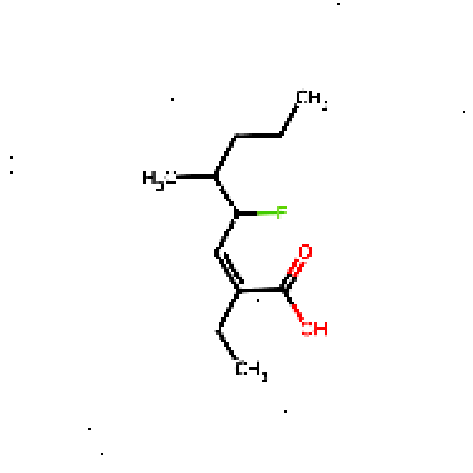 CCCC(C)C(F)C=C(CC)C(=O)O